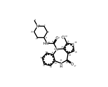 CN1CCC(NC(=O)N2c3ccccc3NC(=O)c3csc(Cl)c32)CC1